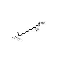 CCCCCCCCNCC(O)CCCCCCCCC(=O)N(C)C